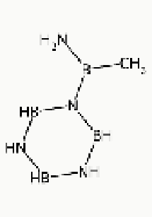 CB(N)N1BNBNB1